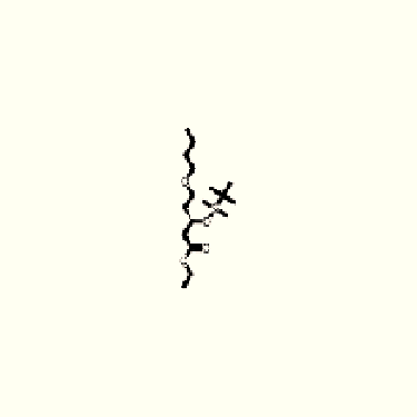 CCCCOCC[C@H](CC(=O)OCC)O[Si](C)(C)C(C)(C)C